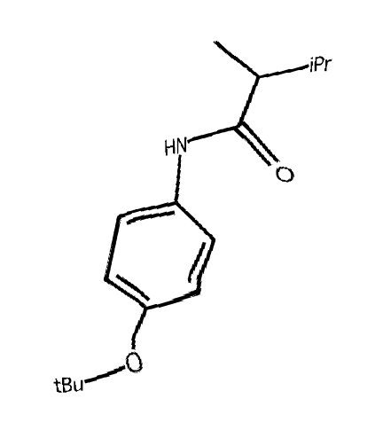 CC(C)C(C)C(=O)Nc1ccc(OC(C)(C)C)cc1